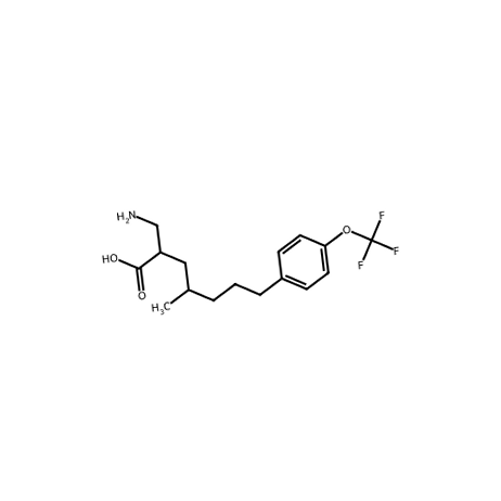 CC(CCCc1ccc(OC(F)(F)F)cc1)CC(CN)C(=O)O